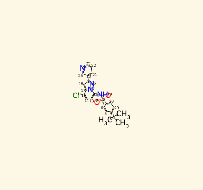 CC(C)(C)c1ccc(S(=O)(=O)Nc2ccc(Cl)c3cc(-c4cccnc4)nn23)cc1